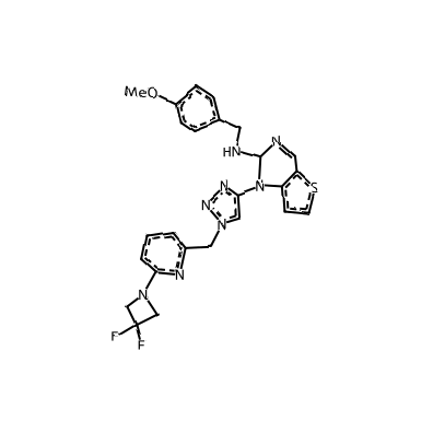 COc1ccc(CNC2N=Cc3sccc3N2c2cn(Cc3cccc(N4CC(F)(F)C4)n3)nn2)cc1